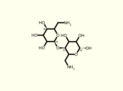 NCC1O[C@@H](O[C@@H]2C(CN)O[C@@H](O)C(O)C2O)C(O)C(O)[C@H]1O